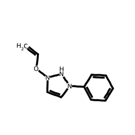 C=CON1C=CN(c2ccccc2)N1